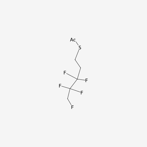 CC(=O)SCCC(F)(F)C(F)(F)CF